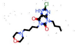 CCCCn1c(=O)n(CCCCN2CCOCC2)c(=O)c2[nH]c(Cl)nc21